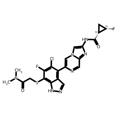 CN(C)C(=O)CSc1c(F)c(Cl)c(-c2cn3cc(NC(=O)[C@@H]4C[C@@H]4F)nc3cn2)c2cn[nH]c12